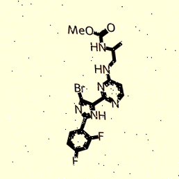 COC(=O)NC(C)CNc1ccnc(-c2[nH]c(-c3ccc(F)cc3F)nc2Br)n1